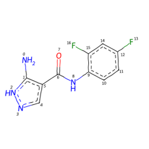 Nc1[nH]ncc1C(=O)Nc1ccc(F)cc1F